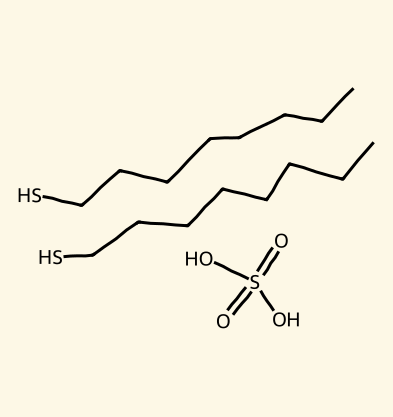 CCCCCCCCS.CCCCCCCCS.O=S(=O)(O)O